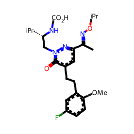 COc1ccc(F)cc1CCc1cc(/C(C)=N/OC(C)C)nn(C[C@@H](NC(=O)O)C(C)C)c1=O